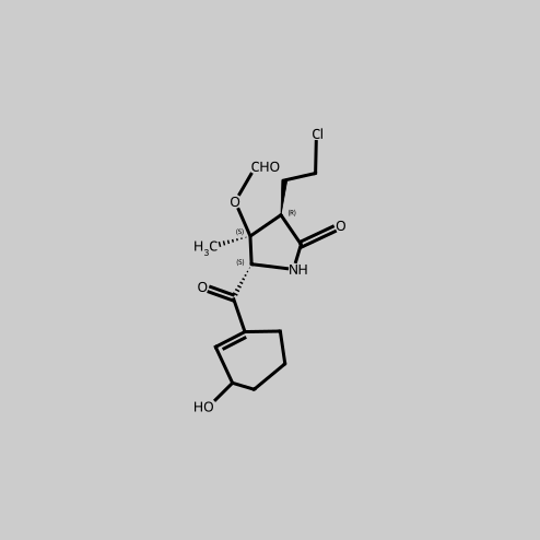 C[C@@]1(OC=O)[C@@H](C(=O)C2=CC(O)CCC2)NC(=O)[C@@H]1CCCl